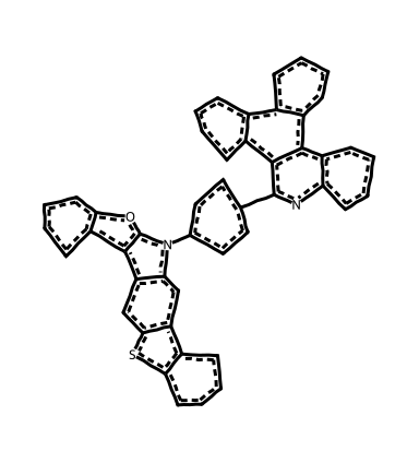 c1ccc2c(c1)nc(-c1ccc(-n3c4cc5c(cc4c4c6ccccc6oc43)sc3ccccc35)cc1)c1c3ccccc3c3ccccc3c21